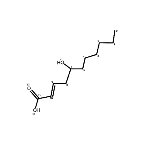 CCCCCCC(O)CC=CC(=O)O